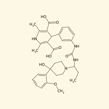 CCC(NC(=O)Nc1cccc(C2C(C(=O)O)=C(C)NC(C)=C2C(=O)O)c1)N1CCC(O)(c2ccccc2OC)CC1